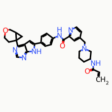 C=CC(=O)N[C@@H]1CCCN(Cc2ccnc(C(=O)Nc3ccc(-c4cc5c(C67CCOCC6C7)ncnc5[nH]4)cc3)c2)C1